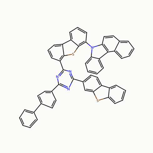 c1ccc(-c2ccc(-c3nc(-c4ccc5c(c4)sc4ccccc45)nc(-c4cccc5c4sc4c(-n6c7ccccc7c7c8ccccc8ccc76)cccc45)n3)cc2)cc1